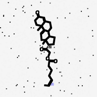 C/C=C\CCCC(=O)OCC(=O)[C@H]1CCC2C3CCC4=CC(=O)CCC4(C)C3=CCC21C